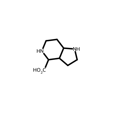 O=C(O)C1NCCC2NCCC21